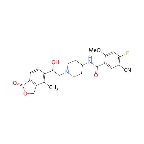 COc1cc(F)c(C#N)cc1C(=O)NC1CCN(CC(O)c2ccc3c(c2C)COC3=O)CC1